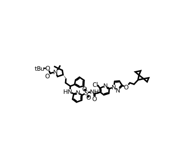 CC(C)(C)OC(=O)N1C[C@@H](CCC(Nc2cccc(S(=O)(=O)NC(=O)c3ccc(-n4ccc(OCCC5C6(CC6)C56CC6)n4)nc3Cl)n2)c2ccccc2)CC1(C)C